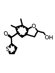 Cc1c(C(=O)c2cccs2)cc2c(c1C)OC(CO)C2